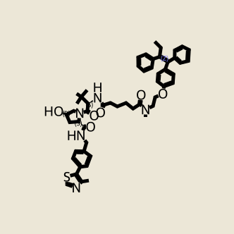 CC/C(=C(\c1ccccc1)c1ccc(OCCN(C)C(=O)CCCCC(=O)N[C@H](C(=O)N2C[C@H](O)C[C@H]2C(=O)NCc2ccc(-c3scnc3C)cc2)C(C)(C)C)cc1)c1ccccc1